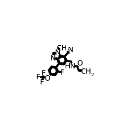 C=CC(=O)NCc1cc(-c2ccc(OC(F)(F)F)cc2F)c2ncn(C)c2c1C#N